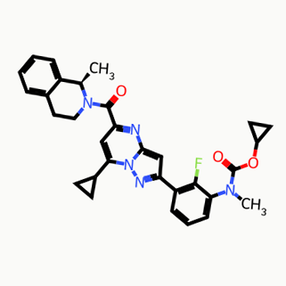 C[C@@H]1c2ccccc2CCN1C(=O)c1cc(C2CC2)n2nc(-c3cccc(N(C)C(=O)OC4CC4)c3F)cc2n1